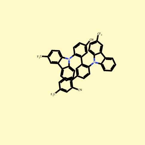 N#Cc1ccc(-n2c3ccccc3c3cc(C(F)(F)F)ccc32)c(-c2cc(-c3ccc(C(F)(F)F)cc3C#N)ccc2-n2c3ccccc3c3cc(C(F)(F)F)ccc32)c1